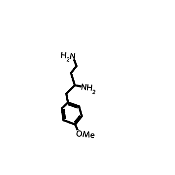 COc1ccc(CC(N)CCN)cc1